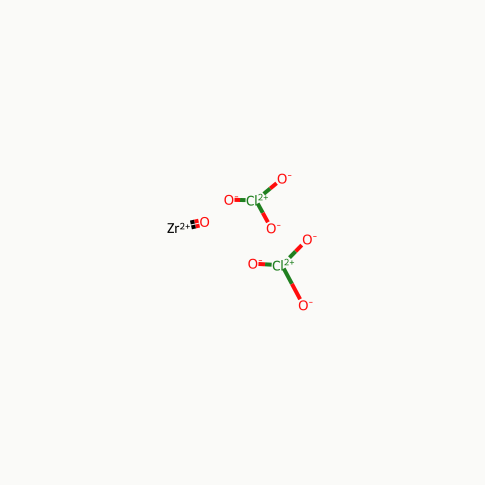 [O-][Cl+2]([O-])[O-].[O-][Cl+2]([O-])[O-].[O]=[Zr+2]